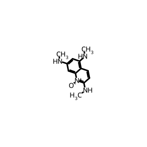 CNc1cc(NC)c2ccc(NC)[n+]([O-])c2c1